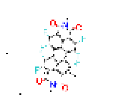 Cc1c2c3c(c(F)c(F)c4c5c(F)c(F)c6c7c(c(F)c(F)c(c(c1F)c34)c75)C(=O)N(C)C6=O)C(=O)N(C)C2=O